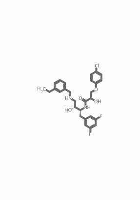 CCc1cccc(CNC[C@@H](O)[C@H](Cc2cc(F)cc(F)c2)NC(=O)C(O)COc2ccc(Cl)cc2)c1